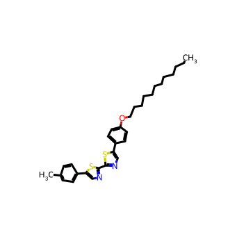 CCCCCCCCCCCCOc1ccc(-c2cnc(-c3ncc(-c4ccc(C)cc4)s3)s2)cc1